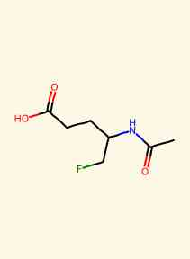 CC(=O)NC(CF)CCC(=O)O